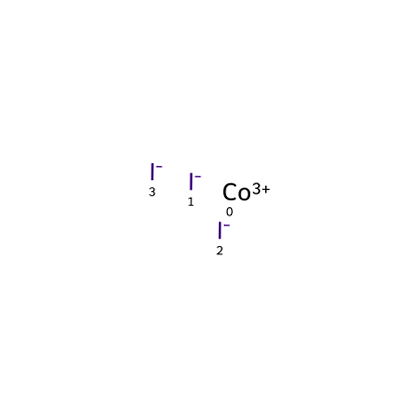 [Co+3].[I-].[I-].[I-]